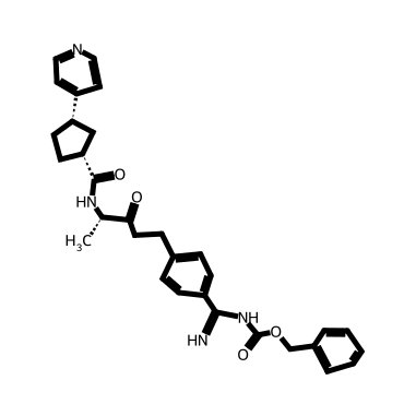 C[C@H](NC(=O)[C@@H]1CC[C@H](c2ccncc2)C1)C(=O)CCc1ccc(C(=N)NC(=O)OCc2ccccc2)cc1